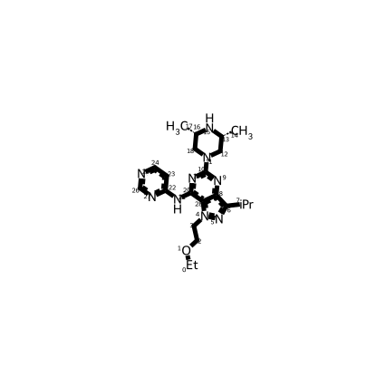 CCOCCn1nc(C(C)C)c2nc(N3C[C@@H](C)N[C@@H](C)C3)nc(Nc3ccncn3)c21